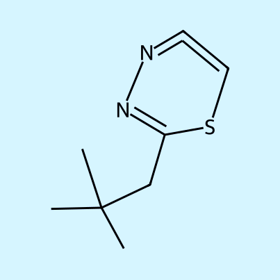 CC(C)(C)CC1=NN=C=CS1